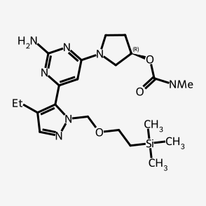 CCc1cnn(COCC[Si](C)(C)C)c1-c1cc(N2CC[C@@H](OC(=O)NC)C2)nc(N)n1